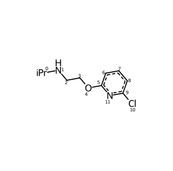 CC(C)NCCOc1cccc(Cl)n1